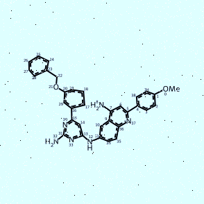 COc1ccc(-c2cc(N)c3cc(Nc4cc(-c5cccc(OCc6ccccc6)c5)nc(N)n4)ccc3n2)cc1